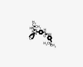 CC(C)Nc1nc(-c2ccc(NC(=O)Nc3ccc(CN(C)C)cc3)cc2)nc(N2C3CCC2COC3)n1